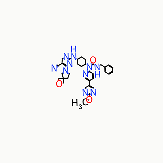 COc1ncc(-c2ccc(N(C(=O)NCc3ccccc3)[C@H]3CC[C@H](Nc4ncc(C#N)c(N5CCC6(COC6)C5)n4)CC3)nc2)cn1